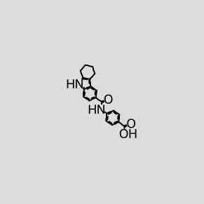 O=C(O)c1ccc(NC(=O)c2ccc3[nH]c4c(c3c2)CCCC4)cc1